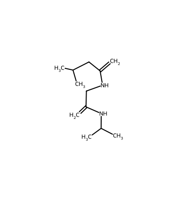 C=C(CC(C)C)NCC(=C)NC(C)C